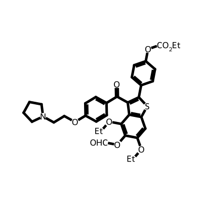 CCOC(=O)Oc1ccc(-c2sc3cc(OCC)c(OC=O)c(OCC)c3c2C(=O)c2ccc(OCCN3CCCC3)cc2)cc1